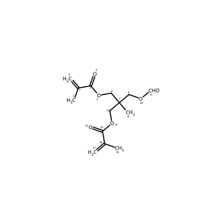 C=C(C)C(=O)OCC(C)(COC=O)COC(=O)C(=C)C